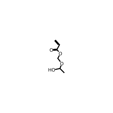 C=CC(=O)OCOC(C)O